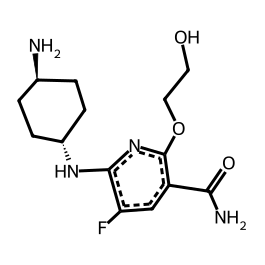 NC(=O)c1cc(F)c(N[C@H]2CC[C@H](N)CC2)nc1OCCO